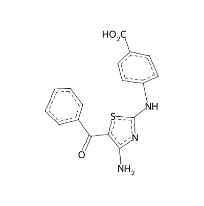 Nc1nc(Nc2ccc(C(=O)O)cc2)sc1C(=O)c1ccccc1